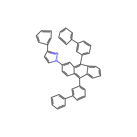 c1ccc(-c2cccc(-c3c4ccccc4c(-c4cccc(-c5ccccc5)c4)c4cc(-n5ccc(-c6ccccc6)n5)ccc34)c2)cc1